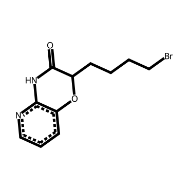 O=C1Nc2ncccc2OC1CCCCBr